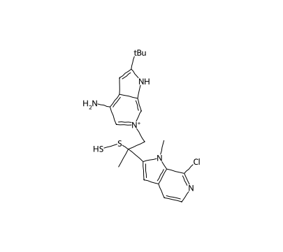 Cn1c(C(C)(C[n+]2cc(N)c3cc(C(C)(C)C)[nH]c3c2)SS)cc2ccnc(Cl)c21